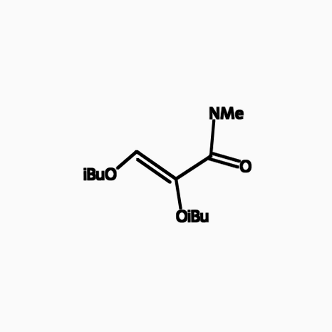 CNC(=O)C(=COCC(C)C)OCC(C)C